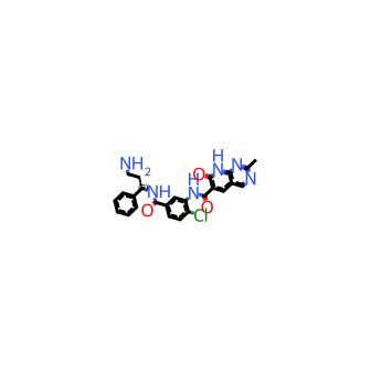 Cc1ncc2cc(C(=O)Nc3cc(C(=O)N[C@H](CCN)c4ccccc4)ccc3Cl)c(=O)[nH]c2n1